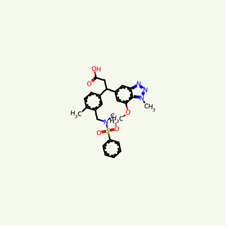 COc1cc(C(CC(=O)O)c2ccc(C)c(CN(C)S(=O)(=O)c3ccccc3)c2)cc2nnn(C)c12